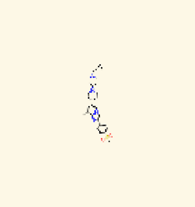 Cc1cc(C2CCN(C3CCN(CC4CC4)CC3)CC2)cn2cc(-c3ccc(S(C)(=O)=O)cc3)nc12